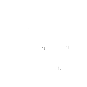 [CH3][Sn]([CH3])([CH3])[c]1ccnc(C#N)n1